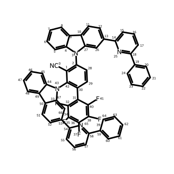 N#Cc1c(-n2c3ccccc3c3ccc(-c4cccc(-c5ccccc5)n4)cc32)ccc(-c2c(F)c(F)c(F)c(F)c2F)c1-n1c2ccccc2c2ccc(-c3cccc(-c4ccccc4)n3)cc21